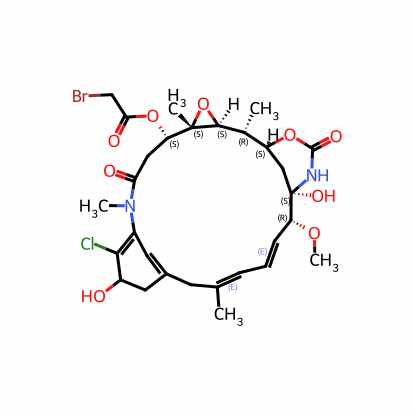 CO[C@@H]1/C=C/C=C(\C)CC2=CC(=C(Cl)C(O)C2)N(C)C(=O)C[C@H](OC(=O)CBr)[C@]2(C)O[C@H]2[C@H](C)[C@@H]2C[C@@]1(O)NC(=O)O2